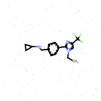 CCn1cc(C(F)(F)F)nc1-c1ccc(CNC2CC2)cc1